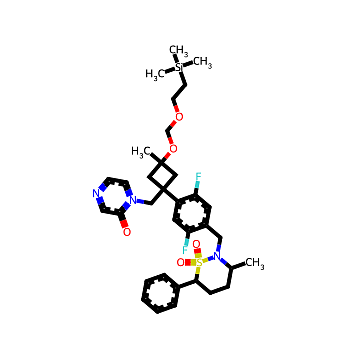 CC1CCC(c2ccccc2)S(=O)(=O)N1Cc1cc(F)c(C2(Cn3ccncc3=O)CC(C)(OCOCC[Si](C)(C)C)C2)cc1F